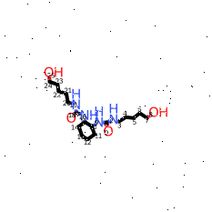 O=C(NCCCCCO)NC1CCCCC1NC(=O)NCCCCCO